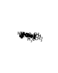 CC(C)C(C(C)C)N1CC(S(=O)(=O)N2CCC(c3c[nH]c4ncccc34)CC2)C1